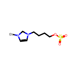 CCN1C=CN(CCCCO[SH](=O)=O)C1